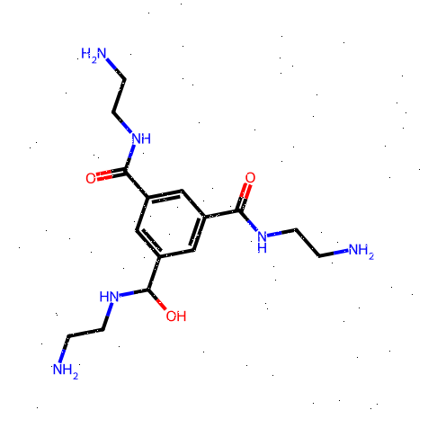 NCCNC(=O)c1cc(C(=O)NCCN)cc(C(O)NCCN)c1